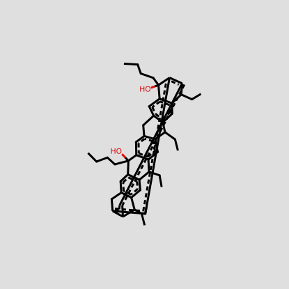 CCCCC1(O)c2cc3c4cc2C(CC)c2cc5c(cc21)Cc1cc2c(cc1C5CC)C(CC)c1cc(c(cc1C2(O)CCCC)C3)C4CC